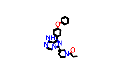 C=CC(=O)N1CCC[C@@H](c2nc(-c3ccc(Oc4ccccc4)cc3)c3c(N)nccn23)C1